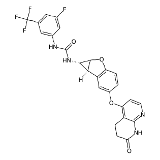 O=C1CCc2c(Oc3ccc4c(c3)[C@@H]3C(O4)[C@H]3NC(=O)Nc3cc(F)cc(C(F)(F)F)c3)ccnc2N1